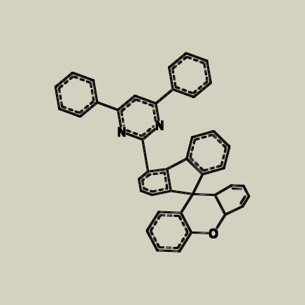 C1=CC2Oc3ccccc3C3(c4ccccc4-c4c(-c5nc(-c6ccccc6)cc(-c6ccccc6)n5)cccc43)C2C=C1